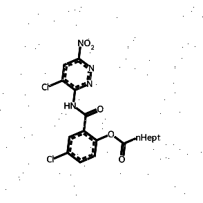 CCCCCCCC(=O)Oc1ccc(Cl)cc1C(=O)Nc1nnc([N+](=O)[O-])cc1Cl